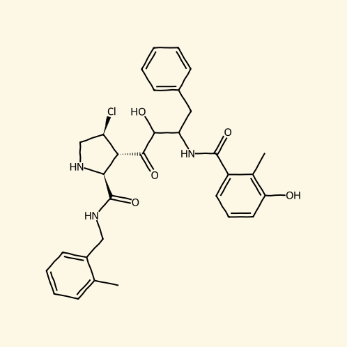 Cc1ccccc1CNC(=O)[C@H]1NC[C@@H](Cl)[C@@H]1C(=O)C(O)C(Cc1ccccc1)NC(=O)c1cccc(O)c1C